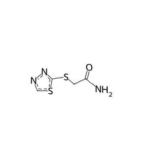 NC(=O)CSc1nncs1